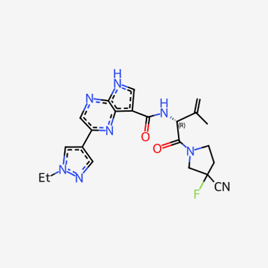 C=C(C)[C@@H](NC(=O)c1c[nH]c2ncc(-c3cnn(CC)c3)nc12)C(=O)N1CCC(F)(C#N)C1